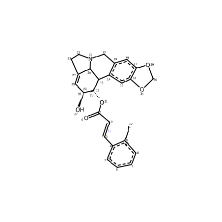 O=C(/C=C/c1ccccc1F)O[C@H]1C2c3cc4c(cc3CN3CCC(=C[C@@H]1O)C23)OCO4